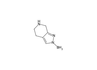 Bn1cc2c(n1)CNCC2